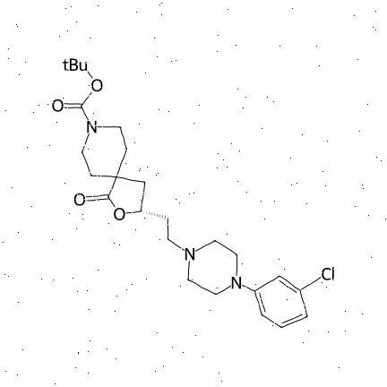 CC(C)(C)OC(=O)N1CCC2(CC1)C[C@H](CCN1CCN(c3cccc(Cl)c3)CC1)OC2=O